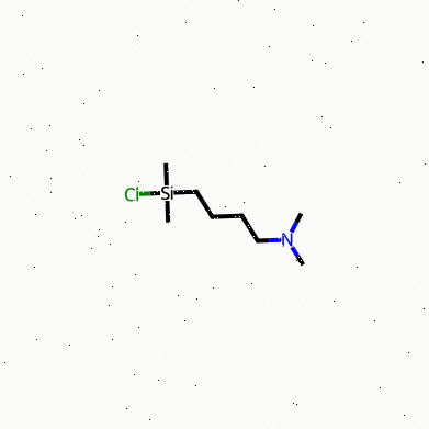 CN(C)CCCC[Si](C)(C)Cl